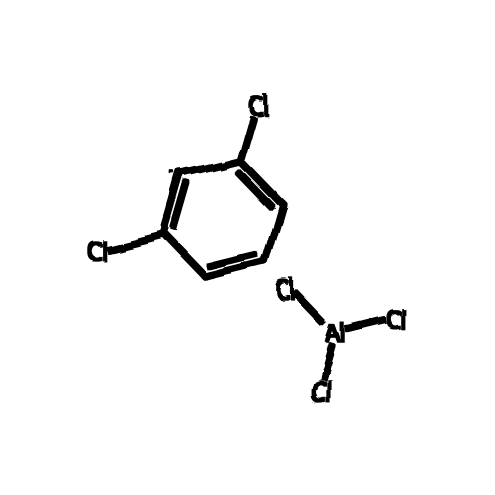 Clc1[c]c(Cl)ccc1.[Cl][Al]([Cl])[Cl]